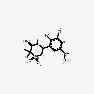 CC1(C)C(=N)NC(c2cc(NC=O)cc(Cl)c2F)CS1(=O)=O